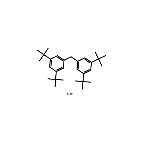 CC(C)(C)c1cc(Cc2cc(C(C)(C)C)cc(C(C)(C)C)c2)cc(C(C)(C)C)c1.[NaH]